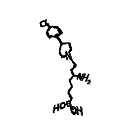 NC(CCCCB(O)O)CCN1CCC(c2ccc(Cl)cc2)CC1